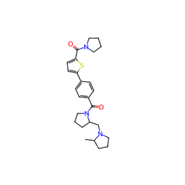 CC1CCCN1CC1CCCN1C(=O)c1ccc(-c2ccc(C(=O)N3CCCC3)s2)cc1